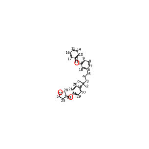 CC(C)(CCCc1cccc(Oc2ccccc2)c1)c1ccc(OC2CCOC2)cc1